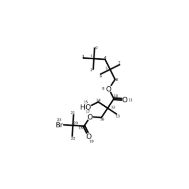 CC(C)(C)CC(C)(C)COC(=O)C(C)(CO)COC(=O)C(C)(C)Br